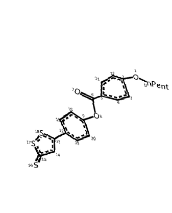 CCCCCOc1ccc(C(=O)Oc2ccc(-c3cc(=S)ss3)cc2)cc1